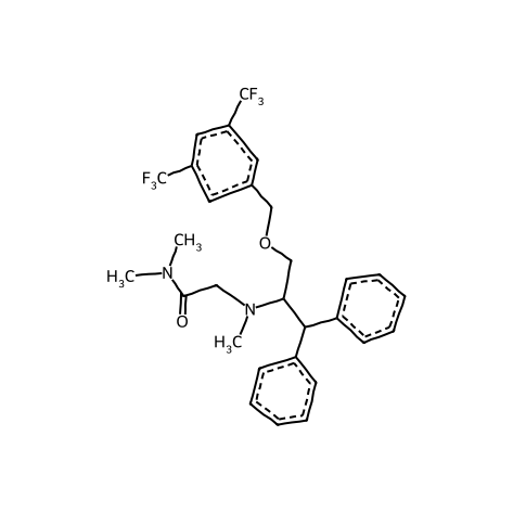 CN(C)C(=O)CN(C)C(COCc1cc(C(F)(F)F)cc(C(F)(F)F)c1)C(c1ccccc1)c1ccccc1